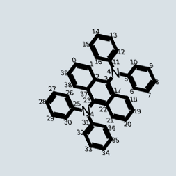 C1=CC2C(N(c3ccccc3)c3ccccc3)=c3ccccc3=C(N(c3ccccc3)c3ccccc3)C2C=C1